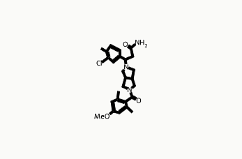 COc1cc(C)c(C(=O)N2CC3CN(C(CC(N)=O)c4ccc(C)c(Cl)c4)CC3C2)c(C)c1